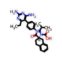 CCc1nc(N)nc(N)c1-c1ccc(NC(=O)[C@]2(N(CC(C)C)C(=O)O)CCc3ccccc3C2)cc1